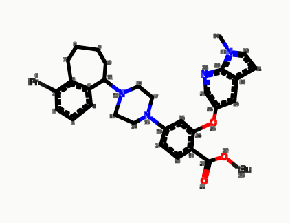 CC(C)c1cccc2c1CCCCC2N1CCN(c2ccc(C(=O)OC(C)(C)C)c(Oc3cnc4c(ccn4C)c3)c2)CC1